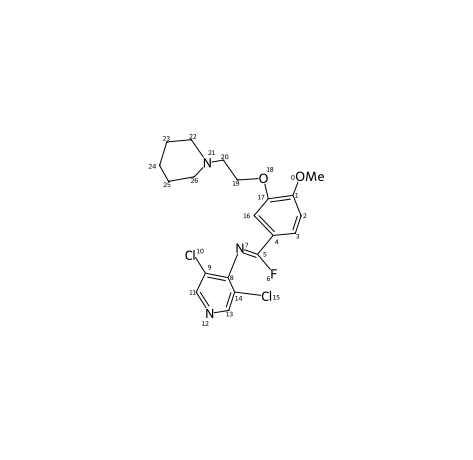 COc1ccc(C(F)=Nc2c(Cl)cncc2Cl)cc1OCCN1CCCCC1